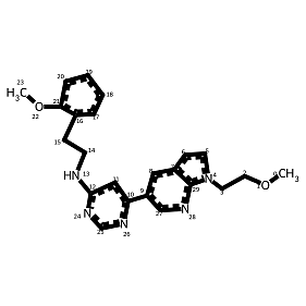 COCCn1ccc2cc(-c3cc(NCCc4ccccc4OC)ncn3)cnc21